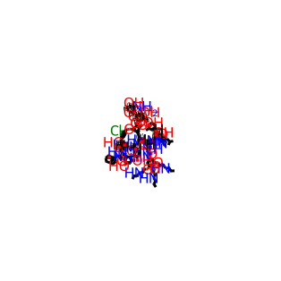 CCCNCCOc1cc(NC(=O)NC(=O)C[C@@H]2NC(=O)[C@H](NC(=O)[C@@H](CC(C)C)NC)[C@H](O)c3ccc(c(C)c3)Oc3cc4cc(c3O[C@@H]3O[C@H](CO)[C@@H](O)[C@H](O)[C@H]3O[C@H]3C[C@](C)(N)[C@H](O)[C@H](C)O3)Oc3ccc(cc3Cl)[C@@H](O)[C@@H]3NC(=O)[C@H](NC(=O)[C@@H]4NC2=O)c2ccc(O)c(c2)-c2c(C)cc(O)cc2[C@@H](C(=O)NC2C4CC5CC(C4)CC2C5)NC3=O)cc(OCCNCCC)c1OCCNCCC